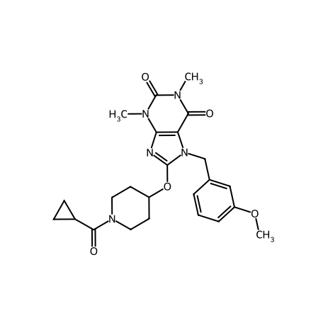 COc1cccc(Cn2c(OC3CCN(C(=O)C4CC4)CC3)nc3c2c(=O)n(C)c(=O)n3C)c1